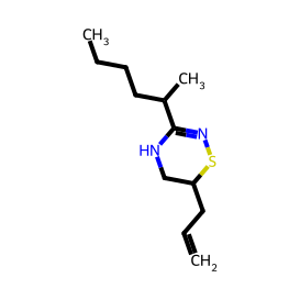 C=CCC1CNC(C(C)CCCC)=NS1